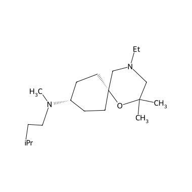 CCN1CC(C)(C)O[C@]2(CC[C@@H](N(C)CCC(C)C)CC2)C1